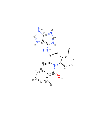 Cc1cccc(-n2c([C@H](C)Nc3ncnc4[nH]cnc34)cc3cccc(C)c3c2=O)c1